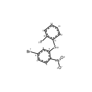 O=[N+]([O-])c1ccc(Br)cc1Sc1ccccc1F